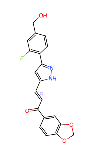 O=C(/C=C/c1cc(-c2ccc(CO)cc2F)n[nH]1)c1ccc2c(c1)OCO2